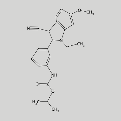 CCN1c2cc(OC)ccc2C(C#N)C1c1cccc(NC(=O)OC(C)C)c1